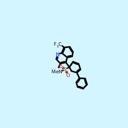 CNS(=O)(=O)C1(c2c(C)cnc3c(C(F)(F)F)cccc23)C=CC=C(c2ccccc2)C1